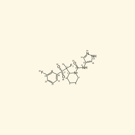 CC(F)(C1CCCCN1C(=O)Nc1cn[nH]c1)S(=O)(=O)c1cccc(F)c1